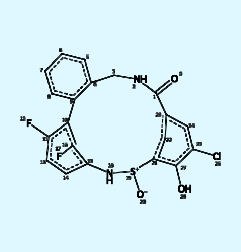 O=C1NCc2ccccc2-c2c(F)ccc(c2F)N[S+]([O-])c2cc1cc(Cl)c2O